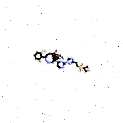 CC1(C)[C@H]2CC[C@]1(c1ccnc(-n3cnc(CCS(=O)(=O)C4COC4)n3)n1)C1C#CC2/C=C(c2c(F)cccc2F)\N=N/1